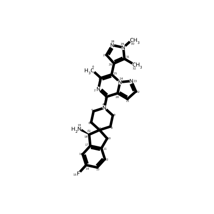 Cc1nc(N2CCC3(CC2)Cc2ccc(F)cc2[C@H]3N)c2ccnn2c1-c1cnn(C)c1C